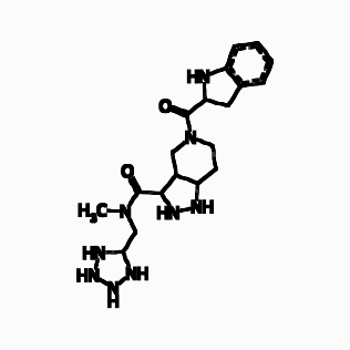 CN(CC1NNNN1)C(=O)C1NNC2CCN(C(=O)C3Cc4ccccc4N3)CC21